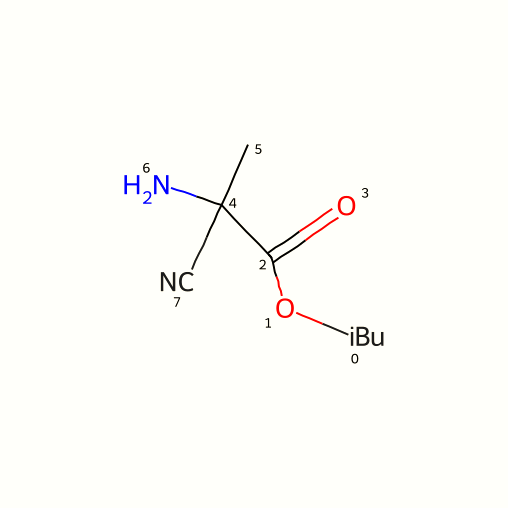 CCC(C)OC(=O)C(C)(N)C#N